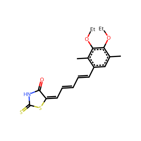 CCOc1c(C)cc(/C=C/C=C/C=C2/SC(=S)NC2=O)c(C)c1OCC